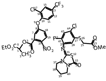 CCOC(=O)C(C)OC(=O)c1cc(Oc2ccc(C(F)(F)F)cc2Cl)ccc1[N+](=O)[O-].COC(=O)CSc1cc(/N=c2\sc(=O)n3n2CCCC3)c(F)cc1Cl